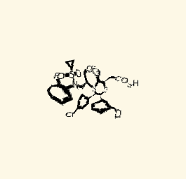 O=C(O)C[C@H]1O[C@H](c2cccc(Cl)c2)[C@@H](c2ccc(Cl)cc2)N([C@@H](CN(c2ccccc2F)S(=O)(=O)C2CC2)CC(F)(F)F)C1=O